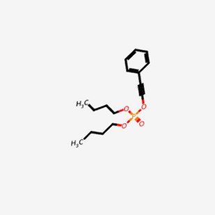 CCCCOP(=O)(OC#Cc1ccccc1)OCCCC